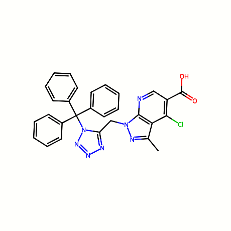 Cc1nn(Cc2nnnn2C(c2ccccc2)(c2ccccc2)c2ccccc2)c2ncc(C(=O)O)c(Cl)c12